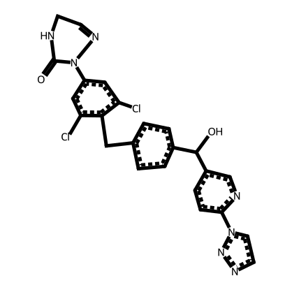 O=C1NCC=NN1c1cc(Cl)c(Cc2ccc(C(O)c3ccc(-n4ccnn4)nc3)cc2)c(Cl)c1